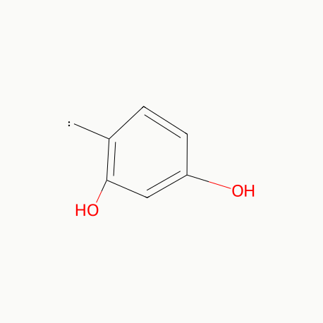 [CH]c1ccc(O)cc1O